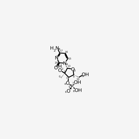 C[C@@]1(O)[C@H](OP(=O)(O)O)[C@@H](CO)O[C@H]1n1ccc(N)nc1=O